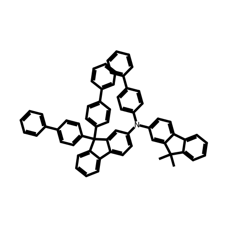 CC1(C)c2ccccc2-c2ccc(N(c3ccc(-c4ccccc4)cc3)c3ccc4c(c3)C(c3ccc(-c5ccccc5)cc3)(c3ccc(-c5ccccc5)cc3)c3ccccc3-4)cc21